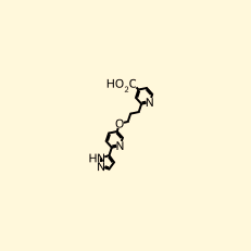 O=C(O)c1ccnc(CCCOc2ccc(-c3ccn[nH]3)nc2)c1